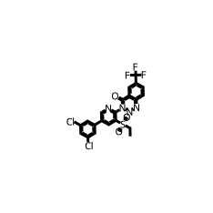 CCS(=O)(=O)c1cc(-c2cc(Cl)cc(Cl)c2)cnc1-n1nnc2ccc(C(F)(F)F)cc2c1=O